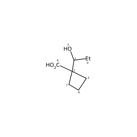 CCC(O)C1(C(=O)O)CCC1